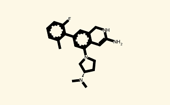 Cc1cccc(F)c1-c1cc2c(c(N3CC[C@H](N(C)C)C3)c1)C=C(N)NC2